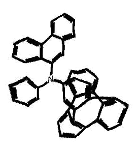 c1ccc(N(c2ccc3c(c2)-c2c4cccc2-c2cccc-3c2-c2ccccc2-4)c2cc3ccccc3c3ccccc23)cc1